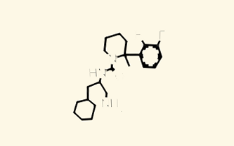 CC1(c2cccc(F)c2F)CCCCN1C(=O)NC(CN)CC1CCCCC1